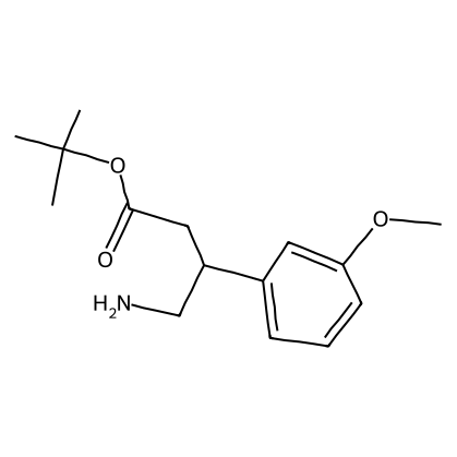 COc1cccc(C(CN)CC(=O)OC(C)(C)C)c1